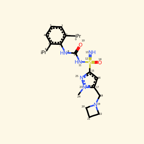 CC(C)c1cccc(C(C)C)c1NC(=O)NS(=N)(=O)c1cc(CN2CCC2)n(C)n1